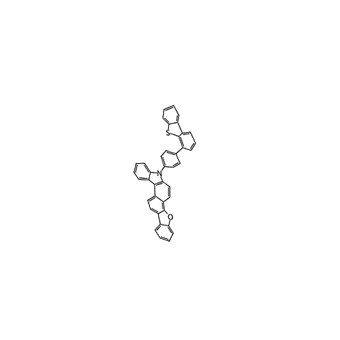 c1ccc2c(c1)oc1c2ccc2c1ccc1c2c2ccccc2n1-c1ccc(-c2cccc3c2sc2ccccc23)cc1